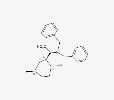 CC(C)[C@@H]1CC[C@@H](C)C[C@H]1C(C(=O)O)N(Cc1ccccc1)Cc1ccccc1